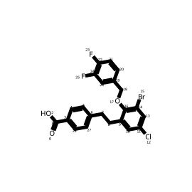 O=C(O)c1ccc(CCc2cc(Cl)cc(Br)c2OCc2ccc(F)c(F)c2)cc1